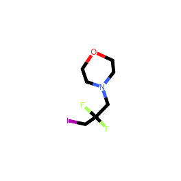 FC(F)(CI)CN1CCOCC1